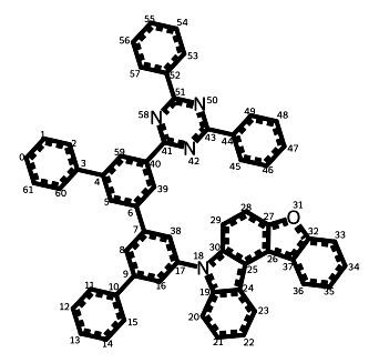 c1ccc(-c2cc(-c3cc(-c4ccccc4)cc(-n4c5ccccc5c5c6c(ccc54)oc4ccccc46)c3)cc(-c3nc(-c4ccccc4)nc(-c4ccccc4)n3)c2)cc1